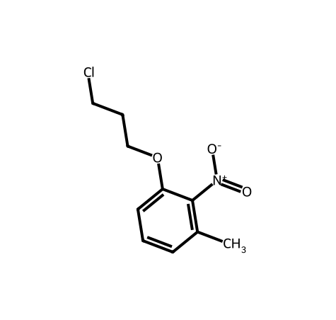 Cc1cccc(OCCCCl)c1[N+](=O)[O-]